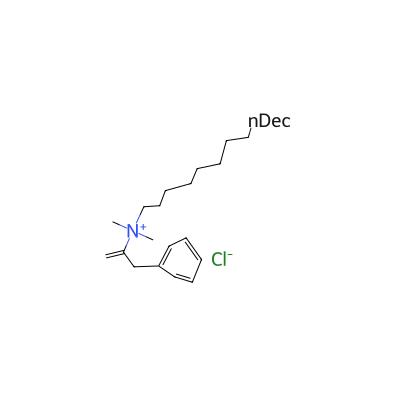 C=C(Cc1ccccc1)[N+](C)(C)CCCCCCCCCCCCCCCCCC.[Cl-]